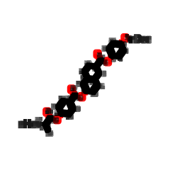 CCCCCCCCCCOc1ccc(OC(=O)C2CCc3cc(OC(=O)c4ccc(OC(=O)[C@@H](C)CCCCCC)cc4)ccc3C2)cc1